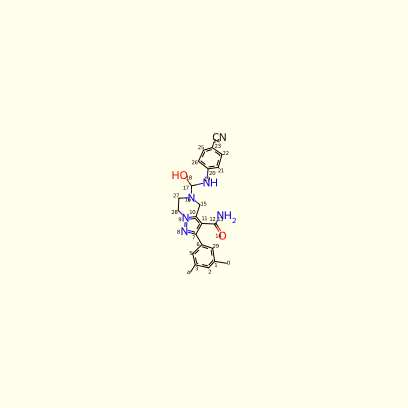 Cc1cc(C)cc(-c2nn3c(c2C(N)=O)CN(C(O)Nc2ccc(C#N)cc2)CC3)c1